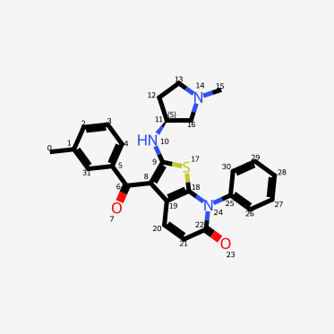 Cc1cccc(C(=O)c2c(N[C@H]3CCN(C)C3)sc3c2ccc(=O)n3-c2ccccc2)c1